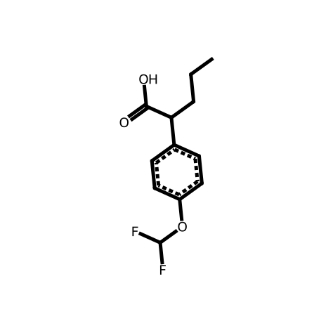 CCCC(C(=O)O)c1ccc(OC(F)F)cc1